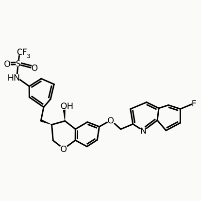 O=S(=O)(Nc1cccc(C[C@@H]2COc3ccc(OCc4ccc5cc(F)ccc5n4)cc3[C@@H]2O)c1)C(F)(F)F